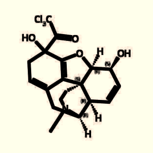 CN1CC[C@]23C4=C5O[C@H]2[C@@H](O)C=C[C@H]3[C@H]1CC4=CCC5(O)C(=O)C(Cl)(Cl)Cl